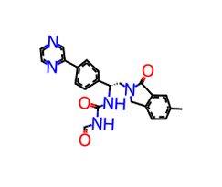 Cc1ccc2c(c1)C(=O)N(C[C@H](NC(=O)NC=O)c1ccc(-c3cnccn3)cc1)C2